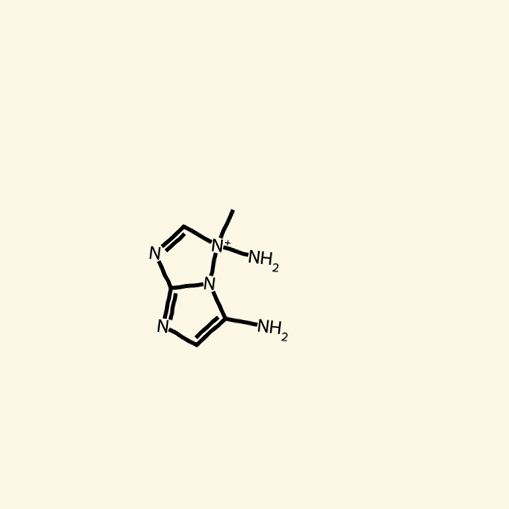 C[N+]1(N)C=Nc2ncc(N)n21